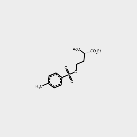 CCOC(=O)[C@H](CCOS(=O)(=O)c1ccc(C)cc1)OC(C)=O